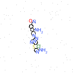 CN(C)C(=O)c1ccc2c(c1)C(N)C1(CCN(c3nc4ccc(Sc5ccnc(N)c5Cl)c5ncc3n45)CC1)C2